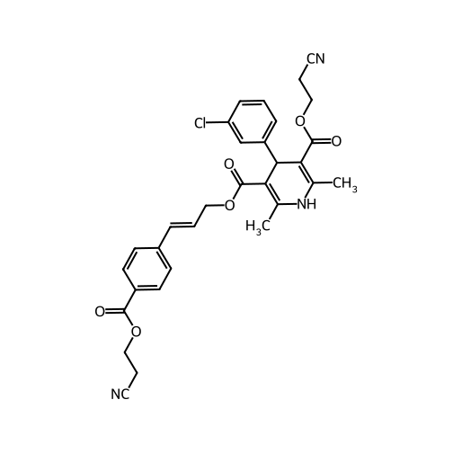 CC1=C(C(=O)OCC=Cc2ccc(C(=O)OCCC#N)cc2)C(c2cccc(Cl)c2)C(C(=O)OCCC#N)=C(C)N1